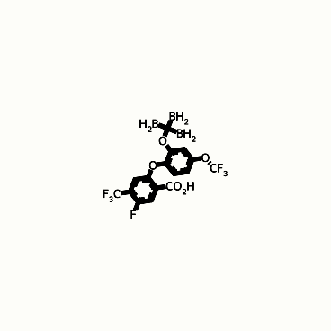 BC(B)(B)Oc1cc(OC(F)(F)F)ccc1Oc1cc(C(F)(F)F)c(F)cc1C(=O)O